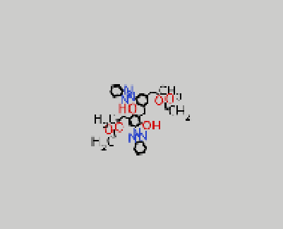 C=CC(=O)OC(C)Cc1cc(Cc2cc(CC(C)OC(=O)C=C)cc(-n3nc4ccccc4n3)c2O)c(O)c(-n2nc3ccccc3n2)c1